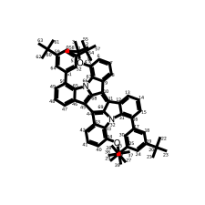 CC(C)(C)Oc1cccc2c3c4c5cccc(-c6cc(C(C)(C)C)cc(C(C)(C)C)c6)c5n5c6c(OC(C)(C)C)cccc6c(c6c7cccc(-c8cc(C(C)(C)C)cc(C(C)(C)C)c8)c7n(c12)c36)c45